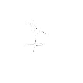 O=C([O-])O.O=P([O-])([O-])[O-].[Co+2].[Na+].[Na+]